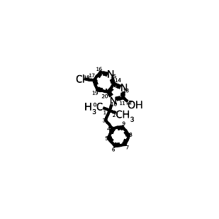 CC(C)(Cc1ccccc1)n1c(O)nc2ncc(Cl)cc21